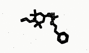 C=CCN1C(C)(C)CC(O[SiH](C)OCCc2ccccc2)CC1(C)C